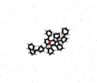 c1ccc(-c2ccc(N(c3ccc(-c4cccc5ccccc45)cc3)c3ccccc3-c3cccc4c3-c3ccccc3C4(c3ccccc3)c3cccc(-c4ccccc4)c3)cc2)cc1